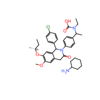 CC[C@@H](C)Oc1cc2c(cc1OC)CC(=O)N(c1ccc(C(C)N(CC)C(=O)O)cc1)C2c1ccc(Cl)cc1.NC1CCCCC1